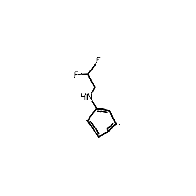 FC(F)CNc1c[c]ccc1